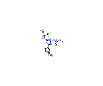 C=C1C=C(c2nc(NC(C)C)nc(N[C@H](CC)C(F)(F)F)n2)CC1